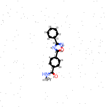 CCCNC(=O)c1ccc(-c2nc(-c3ccccc3)no2)cc1